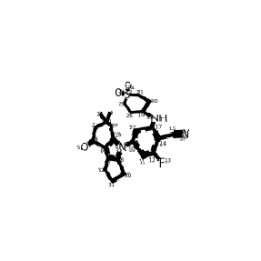 CC1(C)CC(=O)c2c3c(n(-c4cc(F)c(C#N)c(NC5CCS(=O)(=O)CC5)c4)c2C1)CCC3